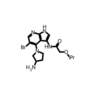 CC(C)OCC(=O)Nc1c[nH]c2ncc(Br)c(N3CCC(N)C3)c12